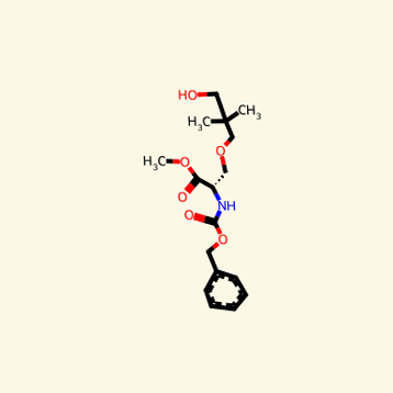 COC(=O)[C@H](COCC(C)(C)CO)NC(=O)OCc1ccccc1